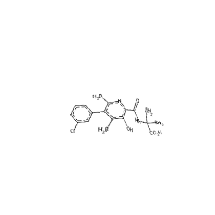 Bc1nc(C(=O)NC(B)(B)C(=O)O)c(O)c(B)c1-c1cccc(Cl)c1